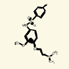 CCOc1cc(NS(=O)(=O)c2ccc(I)cc2)ccc1OCCN(C)C